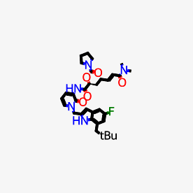 CN(C)C(=O)/C=C/CC[C@H](OC(=O)N1CCCC1)C(=O)Nc1cccn(Cc2cc3cc(F)cc(CC(C)(C)C)c3[nH]2)c1=O